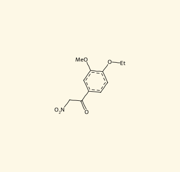 CCOc1ccc(C(=O)C[N+](=O)[O-])cc1OC